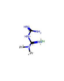 CC(C)N(C(=N)NC(=N)N)C(C)C.Cl